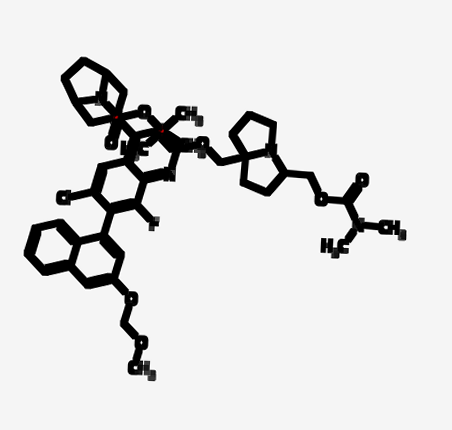 COCOc1cc(-c2c(Cl)cc3c(N4CC5CCC(C4)N5C(=O)OC(C)(C)C)nc(OCC45CCCN4C(COC(=O)N(C)C)CC5)nc3c2F)c2ccccc2c1